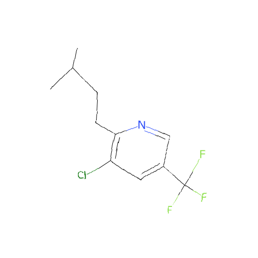 CC(C)CCc1ncc(C(F)(F)F)cc1Cl